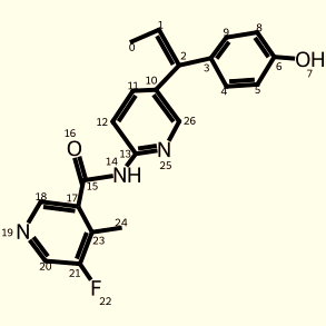 CC=C(c1ccc(O)cc1)c1ccc(NC(=O)c2cncc(F)c2C)nc1